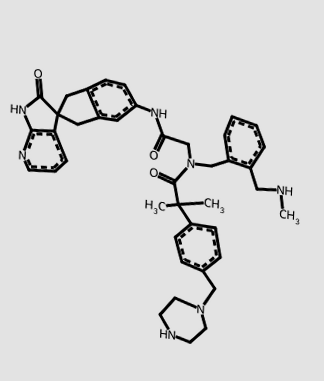 CNCc1ccccc1CN(CC(=O)Nc1ccc2c(c1)CC1(C2)C(=O)Nc2ncccc21)C(=O)C(C)(C)c1ccc(CN2CCNCC2)cc1